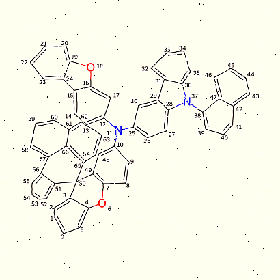 c1ccc2c(c1)Oc1ccc(N(c3ccc4c(c3)oc3ccccc34)c3ccc4c(c3)c3ccccc3n4-c3cccc4ccccc34)cc1C21c2ccccc2-c2cccc3cccc1c23